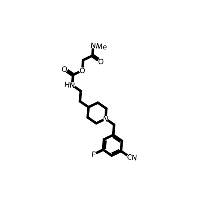 CNC(=O)COC(=O)NCCC1CCN(Cc2cc(F)cc(C#N)c2)CC1